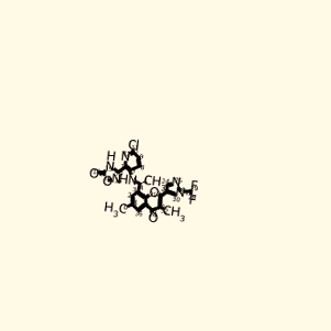 Cc1cc([C@@H](C)Nc2ccc(Cl)nc2-c2noc(=O)[nH]2)c2oc(-c3cnn(C(F)F)c3)c(C)c(=O)c2c1